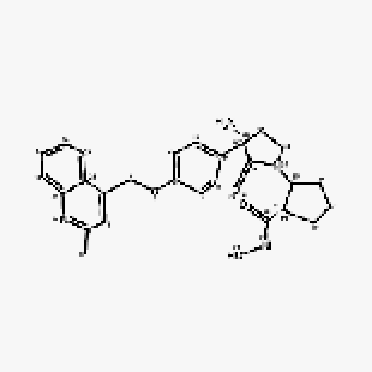 Cc1cc(COc2ccc([C@@]3(N)CCN(C4CCC[C@@H]4C(=O)NO)C3=O)cc2)c2ccccc2n1